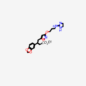 CCOC(=O)CC(Cc1cc(OCCCNC2=NCCN2)no1)c1ccc2c(c1)OCO2